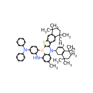 Cc1cc2c3c(c1)N(C1C=CC4=C(C1)C(C)(C)CCC4(C)C)c1c(sc4cc5c(cc14)C(C)(C)CCC5(C)C)B3c1ccc(N(c3ccccc3)c3ccccc3)cc1N2